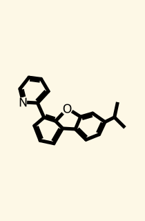 CC(C)c1ccc2c(c1)oc1c(-c3ccccn3)cccc12